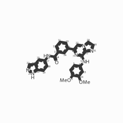 COc1ccc(Nc2nc(-c3cccc(C(=O)Nc4ccc5[nH]ncc5c4)c3)cn3ccnc23)cc1OC